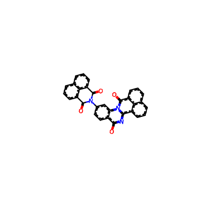 O=C1c2cccc3cccc(c23)C(=O)N1c1ccc2c(=O)nc3c4cccc5cccc(c(=O)n3c2c1)c54